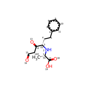 C[C@H](N[C@@H](CCc1ccccc1)C(=O)CC=O)C(=O)O